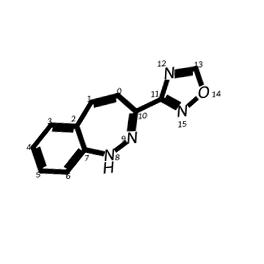 C1=Cc2ccccc2NN=C1c1ncon1